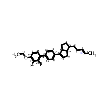 C/C=C/CCC1CCC2C(c3ccc(-c4ccc(OCC)c(F)c4F)cc3)=CCC12